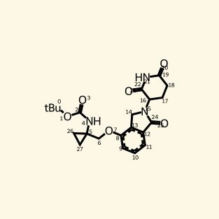 CC(C)(C)OC(=O)NC1(COc2cccc3c2CN(C2CCC(=O)NC2=O)C3=O)CC1